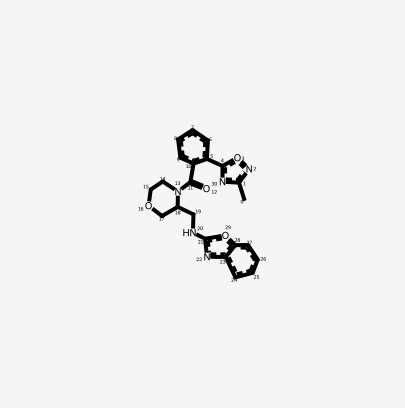 Cc1noc(-c2ccccc2C(=O)N2CCOCC2CNc2nc3ccccc3o2)n1